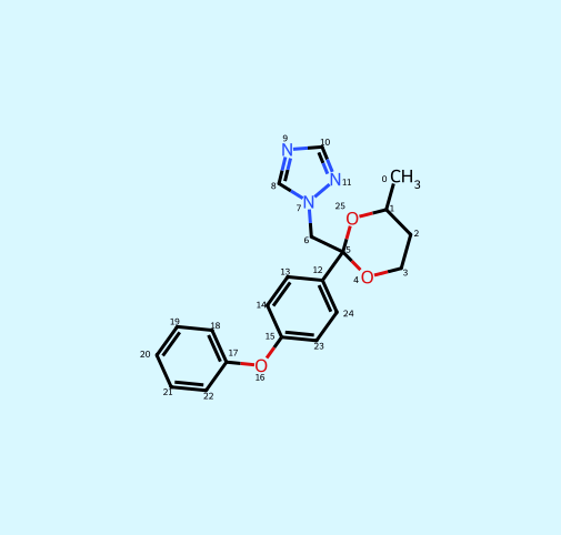 CC1CCOC(Cn2cncn2)(c2ccc(Oc3ccccc3)cc2)O1